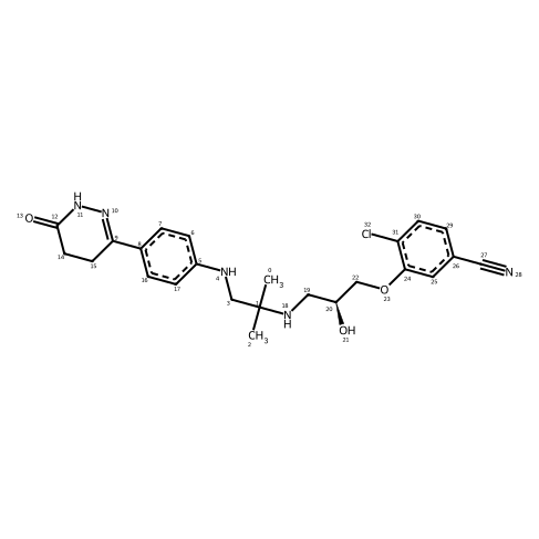 CC(C)(CNc1ccc(C2=NNC(=O)CC2)cc1)NC[C@H](O)COc1cc(C#N)ccc1Cl